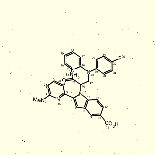 CNc1nccc(-c2cc3cc(C(=O)O)ccc3n2C(CN(c2ccc(F)cc2)c2ccccn2)C(N)=O)n1